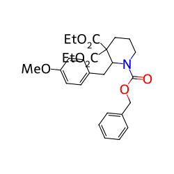 CCOC(=O)C1(C(=O)OCC)CCCN(C(=O)OCc2ccccc2)C1Cc1ccc(OC)cc1